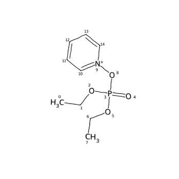 CCOP(=O)(OCC)O[n+]1ccccc1